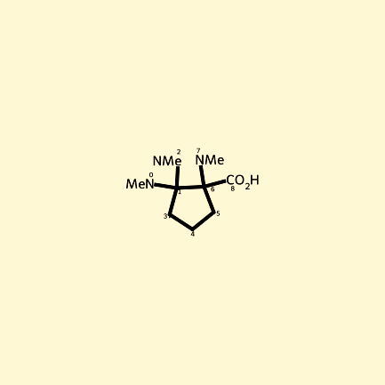 CNC1(NC)[CH]CCC1(NC)C(=O)O